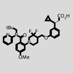 COc1ccc(C(=O)N(CC(C)(C)C)c2ccccn2)c(N2CCC(COc3cccc([C@@H](CC(=O)O)C4CC4)c3)C(F)(F)C2)c1